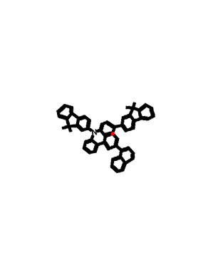 CC1(C)c2ccccc2-c2ccc(-c3ccc(N(c4ccc5c(c4)C(C)(C)c4ccccc4-5)c4ccccc4-c4cccc(-c5cccc6ccccc56)c4)cc3)cc21